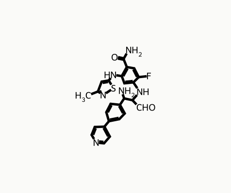 Cc1cc(Nc2cc(NC(C=O)C(N)c3ccc(-c4ccncc4)cc3)c(F)cc2C(N)=O)sn1